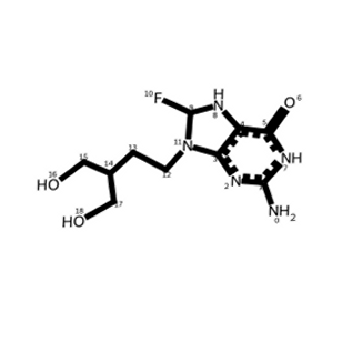 Nc1nc2c(c(=O)[nH]1)NC(F)N2CCC(CO)CO